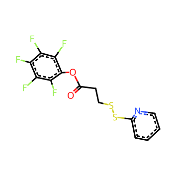 O=C(CCSSc1ccccn1)Oc1c(F)c(F)c(F)c(F)c1F